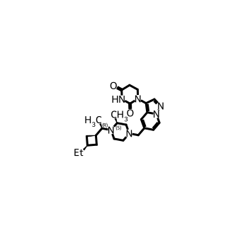 CC[C@H]1C[C@@H]([C@@H](C)N2CCN(Cc3ccn4ncc(N5CCC(=O)NC5=O)c4c3)C[C@@H]2C)C1